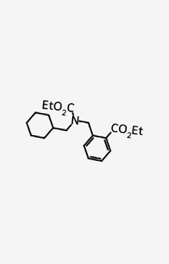 CCOC(=O)c1ccccc1CN(CC1CCCCC1)C(=O)OCC